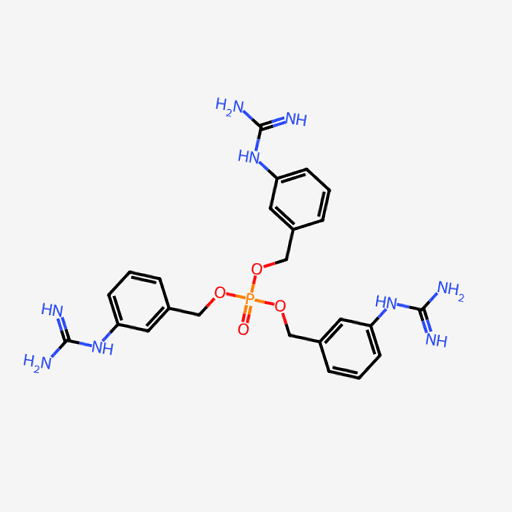 N=C(N)Nc1cccc(COP(=O)(OCc2cccc(NC(=N)N)c2)OCc2cccc(NC(=N)N)c2)c1